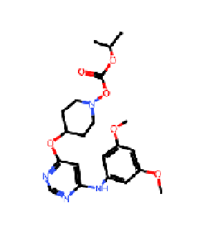 COc1cc(Nc2cc(OC3CCN(OC(=O)OC(C)C)CC3)ncn2)cc(OC)c1